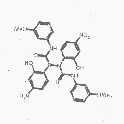 COc1cccc(NC(=O)N(c2ccc([N+](=O)[O-])cc2O)N(C(=O)Nc2cccc(OC)c2)c2ccc([N+](=O)[O-])cc2O)c1